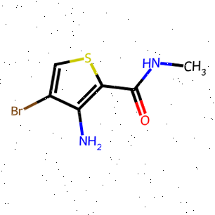 CNC(=O)c1scc(Br)c1N